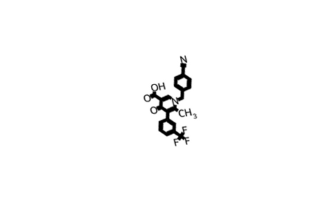 Cc1c(-c2cccc(C(F)(F)F)c2)c(=O)c(C(=O)O)cn1Cc1ccc(C#N)cc1